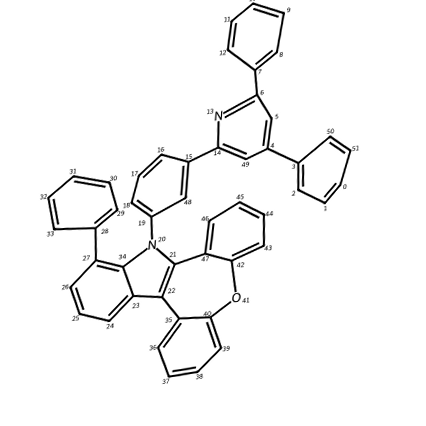 c1ccc(-c2cc(-c3ccccc3)nc(-c3cccc(-n4c5c(c6cccc(-c7ccccc7)c64)-c4ccccc4Oc4ccccc4-5)c3)c2)cc1